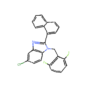 Fc1cccc(F)c1Cn1c(-c2cccc3ccccc23)nc2cc(Cl)ccc21